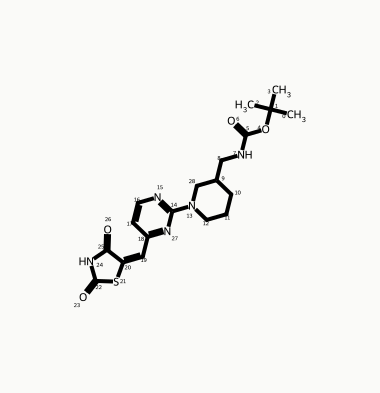 CC(C)(C)OC(=O)NCC1CCCN(c2nccc(C=C3SC(=O)NC3=O)n2)C1